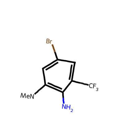 CNc1cc(Br)cc(C(F)(F)F)c1N